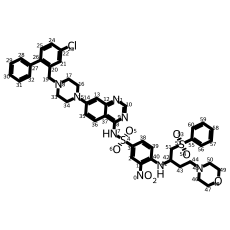 O=[N+]([O-])c1cc(S(=O)(=O)Nc2ncnc3cc(N4CCN(Cc5cc(Cl)ccc5-c5ccccc5)CC4)ccc23)ccc1NC(CCN1CCOCC1)CS(=O)(=O)c1ccccc1